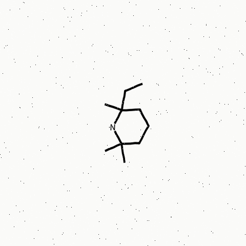 CCC1(C)CCCC(C)(C)[N]1